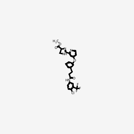 COC(=O)C1CNC(c2cc(Oc3cccc(CCC(=O)Nc4ccc(Cl)c(C(F)(F)F)c4)c3)ccn2)=N1